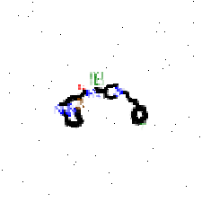 Cl.Cl.O=C(NCC1CCN(CCCc2ccc(F)cc2)CC1)C1=Cc2cnc3cccc(n23)S1